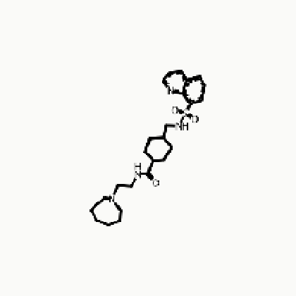 O=C(NCCN1CCCCCC1)C1CCC(CNS(=O)(=O)c2cccc3cccnc23)CC1